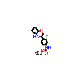 CC(C)(C)OC(=O)Nc1ccc(C2COc3ccccc3N2)c(F)c1